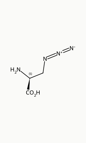 [N-]=[N+]=NC[C@H](N)C(=O)O